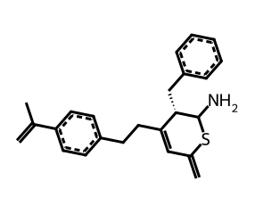 C=C1C=C(CCc2ccc(C(=C)C)cc2)[C@H](Cc2ccccc2)C(N)S1